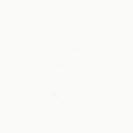 Cc1nc2ccn(Cc3ccccc3)c(=O)c2cc1C(=O)NCc1ncccn1